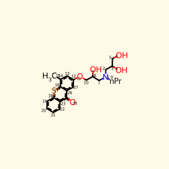 CCCN(CC(O)CO)CC(O)COc1cc(C)c2sc3ccccc3c(=O)c2c1